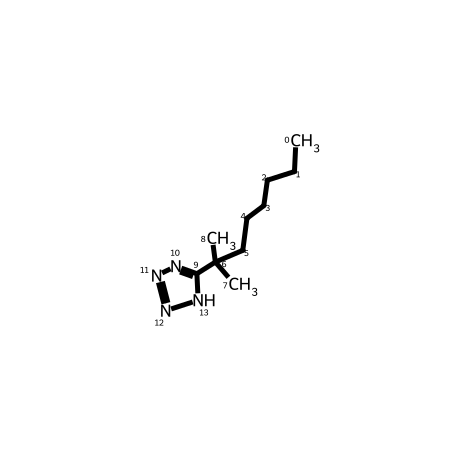 CCCCCCC(C)(C)c1nnn[nH]1